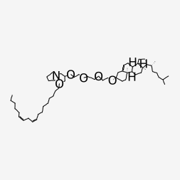 CCCCC/C=C\C/C=C\CCCCCCCCOCC(CN1CCCC1)OCCOCCOCCO[C@H]1CC[C@@]2(C)C(=CC[C@H]3[C@@H]4CC[C@H]([C@H](C)CCCC(C)C)[C@@]4(C)CC[C@@H]32)C1